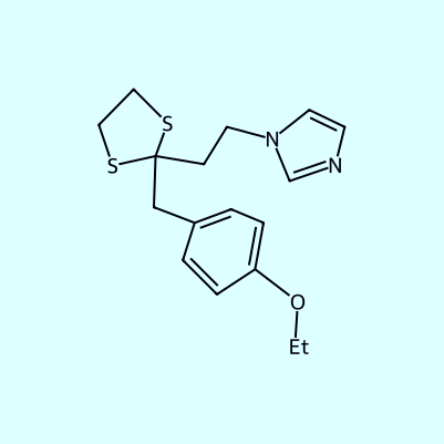 CCOc1ccc(CC2(CCn3ccnc3)SCCS2)cc1